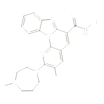 CN1CCCN(c2nc3c(cc2F)cc(C(=O)NO)c2nc4ccccc4n23)CC1